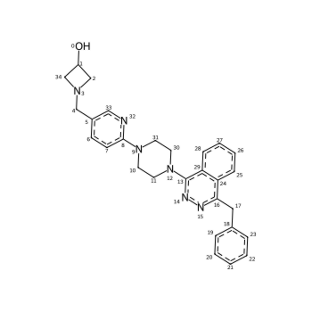 OC1CN(Cc2ccc(N3CCN(c4nnc(Cc5ccccc5)c5ccccc45)CC3)nc2)C1